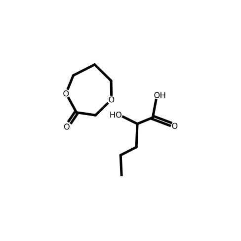 CCCC(O)C(=O)O.O=C1COCCCO1